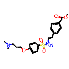 COC(=O)c1ccc(CCNS(=O)(=O)c2ccc(OCCCN(C)C)cc2)cc1